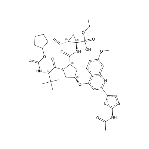 C=C[C@@H]1C[C@]1(NC(=O)[C@@H]1C[C@@H](Oc2cc(-c3csc(NC(C)=O)n3)nc3cc(OC)ccc23)CN1C(=O)[C@@H](NC(=O)OC1CCCC1)C(C)(C)C)P(=O)(O)OCC